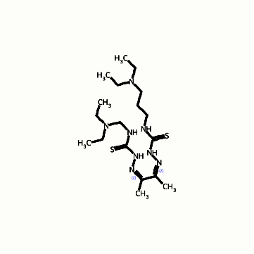 CCN(CC)CCCNC(=S)N/N=C(C)\C(C)=N/NC(=S)NCN(CC)CC